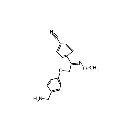 CO/N=C(\COc1ccc(CN)cc1)c1ccc(C#N)cc1